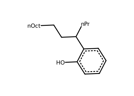 CCCCCCCCCCC(CCC)c1ccccc1O